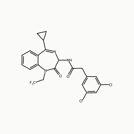 O=C(Cc1cc(Cl)cc(Cl)c1)NC1N=C(C2CC2)c2ccccc2N(CC(F)(F)F)C1=O